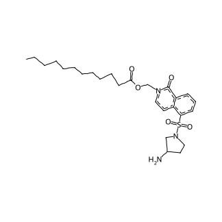 CCCCCCCCCCCC(=O)OCn1ccc2c(S(=O)(=O)N3CCC(N)C3)cccc2c1=O